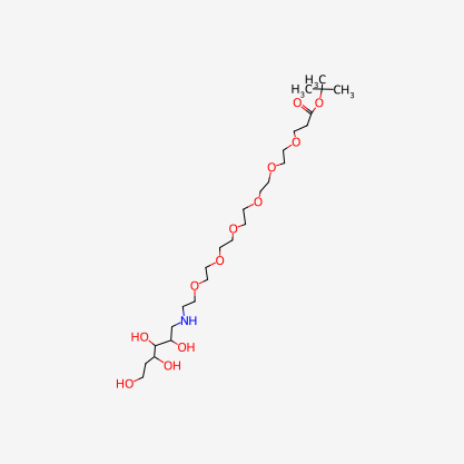 CC(C)(C)OC(=O)CCOCCOCCOCCOCCOCCOCCNCC(O)C(O)C(O)CCO